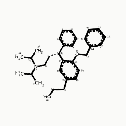 CC(C)N(CC[C@H](c1ccccc1)c1cc(CCO)ccc1OCc1ccccc1)C(C)C